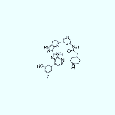 O=C(CC1CCNCC1)Nc1cncc(-c2ccc3[nH]nc(-c4nc5c(-c6cc(O)cc(F)c6)ccnc5[nH]4)c3n2)c1